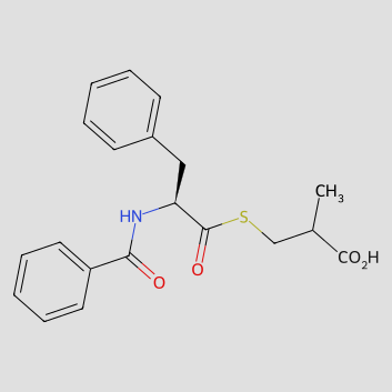 CC(CSC(=O)[C@H](Cc1ccccc1)NC(=O)c1ccccc1)C(=O)O